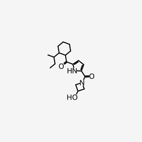 CCC(C)C1CCCCC1C(=O)c1ccc(C(=O)N2CC(O)C2)[nH]1